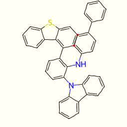 c1ccc(-c2ccc(Nc3c(-c4cccc5sc6ccccc6c45)cccc3-n3c4ccccc4c4ccccc43)cc2)cc1